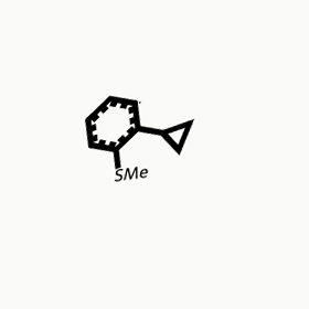 CSc1ccc[c]c1C1CC1